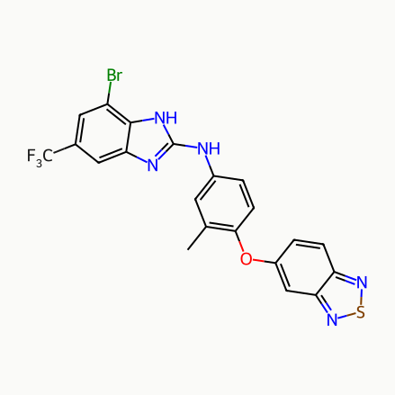 Cc1cc(Nc2nc3cc(C(F)(F)F)cc(Br)c3[nH]2)ccc1Oc1ccc2nsnc2c1